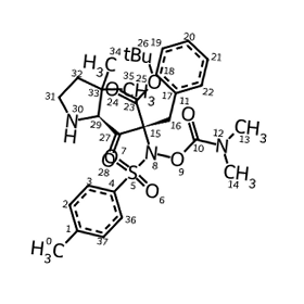 Cc1ccc(S(=O)(=O)N(OC(=O)N(C)C)[C@@](Cc2ccccc2)(C(=O)OC(C)(C)C)C(=O)[C@H]2NCCC2(C)C)cc1